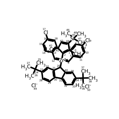 CC1=[C]([Zr+2](=[CH]c2ccc(Cl)cc2)(=[CH]c2ccc(Cl)cc2)[CH]2c3cc(C(C)(C)C)ccc3-c3ccc(C(C)(C)C)cc32)C(C)C=C1[Si](C)(C)C.[Cl-].[Cl-]